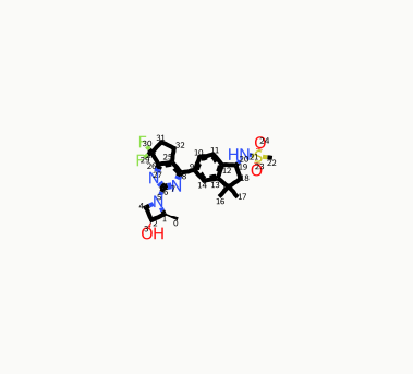 C[C@H]1[C@H](O)CN1c1nc(-c2ccc3c(c2)C(C)(C)CC3NS(C)(=O)=O)c2c(n1)C(F)(F)CC2